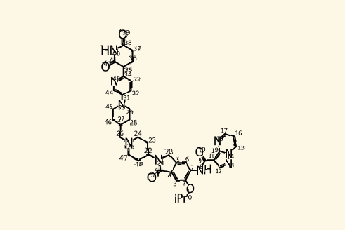 CC(C)Oc1cc2c(cc1NC(=O)c1cnn3cccnc13)CN(C1CCN(CC3CCN(c4ccc(C5CCC(=O)NC5=O)nc4)CC3)CC1)C2=O